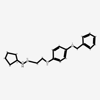 c1ccc(COc2ccc(OCCONC3CCCC3)cc2)cc1